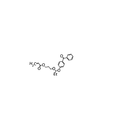 C=CC(=O)OCCCOC(CC)Oc1ccc(C(=O)c2ccccc2)cc1